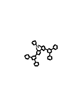 c1ccc(-c2cc(-c3ccccc3)cc(-c3ccc4c(c3)CN(c3ccccc3)Cc3ccc(-c5cc(-c6ccccc6)cc(-c6ccccc6)c5)cc3-4)c2)cc1